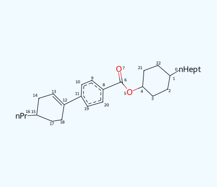 CCCCCCCC1CCC(OC(=O)c2ccc(C3=CCC(CCC)CC3)cc2)CC1